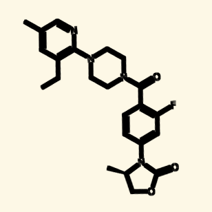 CCc1cc(C)cnc1N1CCN(C(=O)c2ccc(N3C(=O)OC[C@H]3C)cc2F)CC1